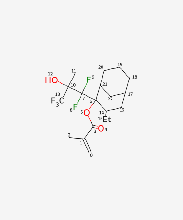 C=C(C)C(=O)OC1(C(F)(F)C(C)(O)C(F)(F)F)C(CC)CC2CCCC1C2